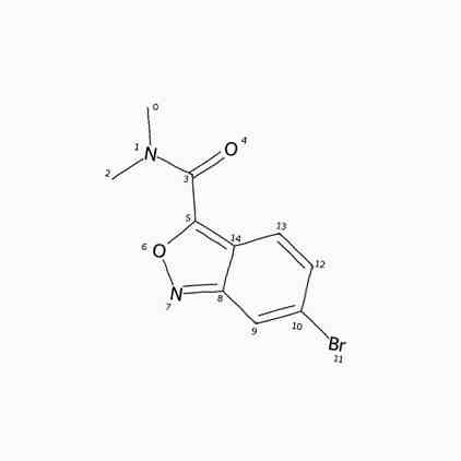 CN(C)C(=O)c1onc2cc(Br)ccc12